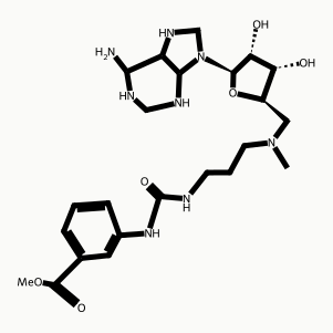 COC(=O)c1cccc(NC(=O)NCCCN(C)C[C@H]2O[C@@H](N3CNC4C(N)NCNC43)[C@H](O)[C@@H]2O)c1